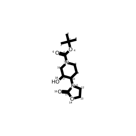 CC(C)(C)OC(=O)N1CCC(N2CCOC2=O)C(O)C1